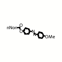 CCCCCCCCCC(=O)Oc1ccc(/N=N/c2ccc(OC)cc2)cc1